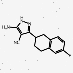 N#Cc1c(C2CCc3cc(F)ccc3C2)n[nH]c1N